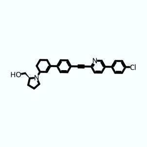 OC[C@@H]1CCCN1C1C=C(c2ccc(C#Cc3ccc(-c4ccc(Cl)cc4)cn3)cc2)CCC1